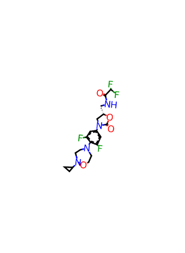 O=C(NC[C@H]1CN(c2cc(F)c(N3CCON(C4CC4)CC3)c(F)c2)C(=O)O1)C(F)F